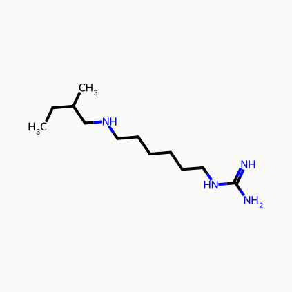 CCC(C)CNCCCCCCNC(=N)N